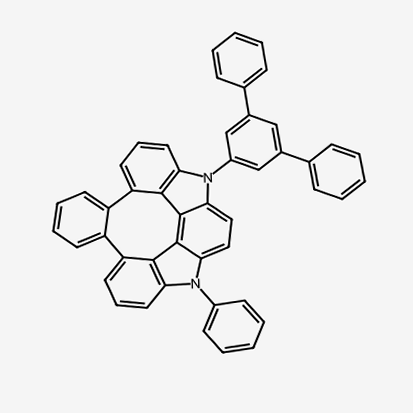 c1ccc(-c2cc(-c3ccccc3)cc(-n3c4cccc5c6ccccc6c6cccc7c6c6c(c54)c3ccc6n7-c3ccccc3)c2)cc1